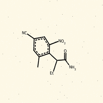 CCC(C(N)=O)c1c(C)cc(C#N)cc1[N+](=O)[O-]